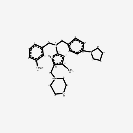 COc1cccc(CN(Cc2ccc(N3CCCC3)cc2)c2nc(C)c(CN3CCOCC3)o2)c1